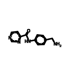 NCc1ccc(NC(=O)c2ccncn2)cc1